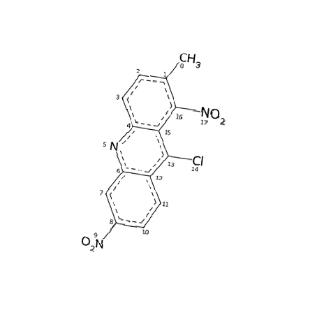 Cc1ccc2nc3cc([N+](=O)[O-])ccc3c(Cl)c2c1[N+](=O)[O-]